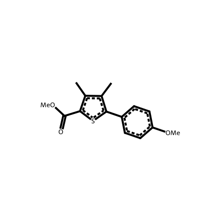 COC(=O)c1sc(-c2ccc(OC)cc2)c(C)c1C